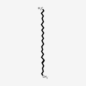 [CH2]CCCC/C=C/CCCCCCCCCCCCCCCCCC[CH2]